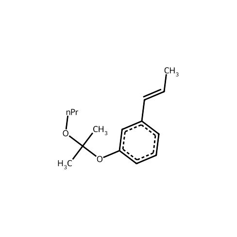 CC=Cc1cccc(OC(C)(C)OCCC)c1